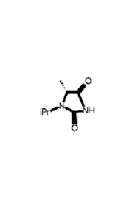 CC(C)N1C(=O)NC(=O)[C@H]1C